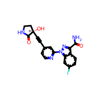 NC(=O)c1nn(-c2cc(C#C[C@]3(O)CCNC3=O)ccn2)c2cc(F)ccc12